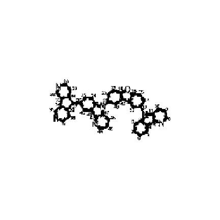 c1ccc2c(c1)c1ncccc1n2-c1ccc2oc3ccc(-n4c5ccc(C6c7ccncc7-c7cnccc76)cc5c5ncccc54)cc3c2c1